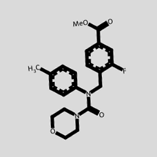 COC(=O)c1ccc(CN(C(=O)N2CCOCC2)c2ccc(C)cc2)c(F)c1